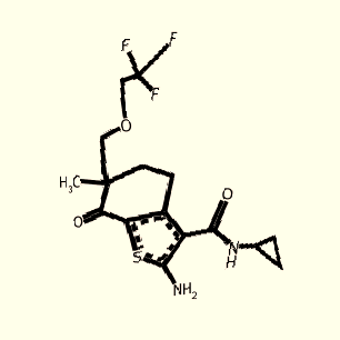 CC1(COCC(F)(F)F)CCc2c(sc(N)c2C(=O)NC2CC2)C1=O